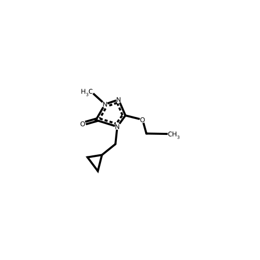 CCOc1nn(C)c(=O)n1CC1CC1